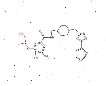 CC(CO)Oc1nc(C(=O)NCC2CCN(Cc3cnc(-c4ccccn4)s3)CC2)cc(N)c1C#N